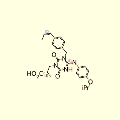 C/C=C\c1ccc(Cn2c(=O)n(C[C@H](C)C(=O)O)c(=O)[nH]/c2=N\c2ccc(OC(C)C)cc2)cc1